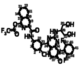 Cc1ccc(NC(=O)c2cc3ccccc3c(OC(=O)C(F)(F)F)n2)cc1-c1nc(NC(CO)CO)nc2c1ccc(=O)n2-c1c(F)cccc1F